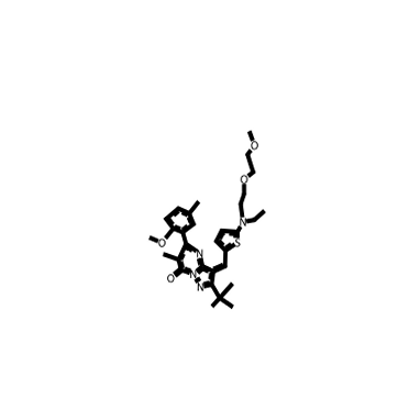 CCN(CCOCCOC)c1ccc(/C=c2/c(C(C)(C)C)nn3c(=O)c(C)c(-c4cc(C)ccc4OC)nc23)s1